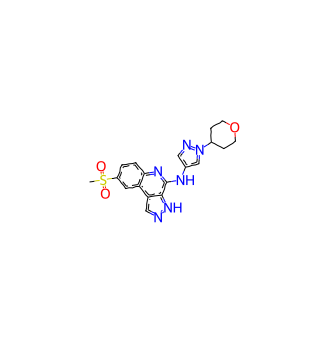 CS(=O)(=O)c1ccc2nc(Nc3cnn(C4CCOCC4)c3)c3[nH]ncc3c2c1